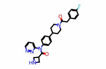 O=C(Cc1ccc(F)cc1)N1CCC(c2ccc(N(C(=O)C3CNC3)c3cccnn3)cc2)CC1